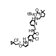 CC(C)(C)OC(=O)N1C(CNc2cccc(SNC(=O)c3ccc(N4C=CC(OCCC5(C(F)(F)F)CC5)N4)nc3Cl)n2)CCC1(C)C